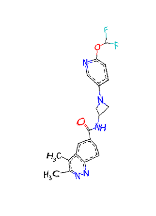 Cc1nnc2ccc(C(=O)NC3CN(c4ccc(OC(F)F)nc4)C3)cc2c1C